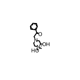 C[N+]1(O)CCN(CC(=O)c2ccccc2)CC1O